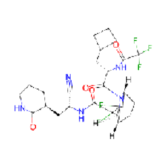 N#C[C@@H](C[C@@H]1CCCNC1=O)NC(=O)[C@@H]1[C@H]2CC[C@H](CC2(F)F)N1C(=O)[C@H](CC1CCC1)NC(=O)C(F)(F)F